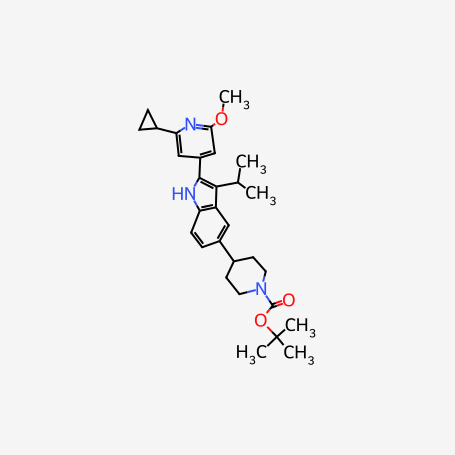 COc1cc(-c2[nH]c3ccc(C4CCN(C(=O)OC(C)(C)C)CC4)cc3c2C(C)C)cc(C2CC2)n1